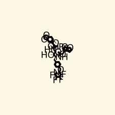 CC(C)C(NC[C@@H](O)[C@H](Cc1ccc(Oc2nc(F)c(F)c(F)c2F)cc1)NC(=O)Oc1coc2occc12)S(=O)(=O)c1ccc2c(c1)OCO2